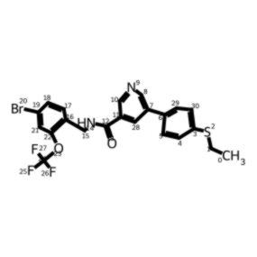 CCSc1ccc(-c2cncc(C(=O)NCc3ccc(Br)cc3OC(F)(F)F)c2)cc1